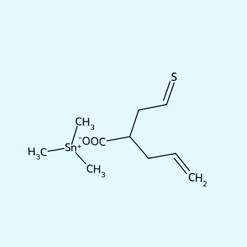 C=CCC(CC=S)C(=O)[O-].[CH3][Sn+]([CH3])[CH3]